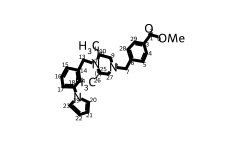 COC(=O)c1ccc(CN2C[C@@H](C)N(Cc3cccc(-n4cccc4)c3)[C@@H](C)C2)cc1